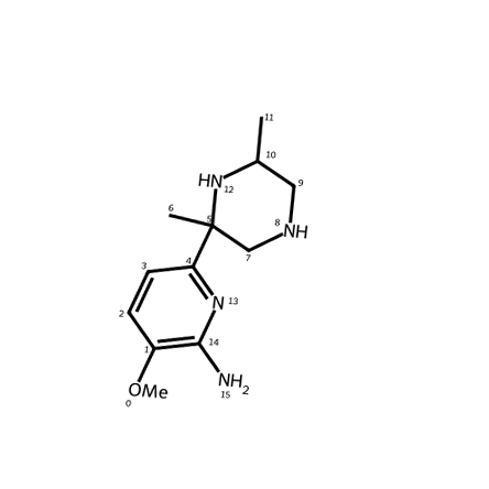 COc1ccc(C2(C)CNCC(C)N2)nc1N